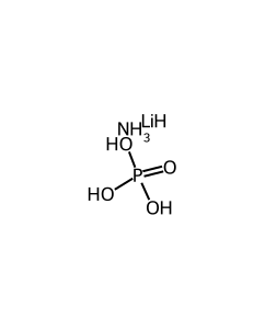 N.O=P(O)(O)O.[LiH]